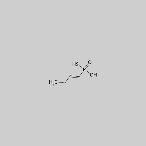 CC/C=C/P(=O)(O)S